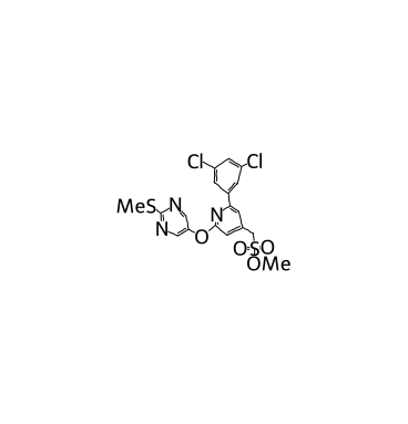 COS(=O)(=O)Cc1cc(Oc2cnc(SC)nc2)nc(-c2cc(Cl)cc(Cl)c2)c1